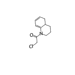 O=C(CCl)N1CCCC2CC=CC=C21